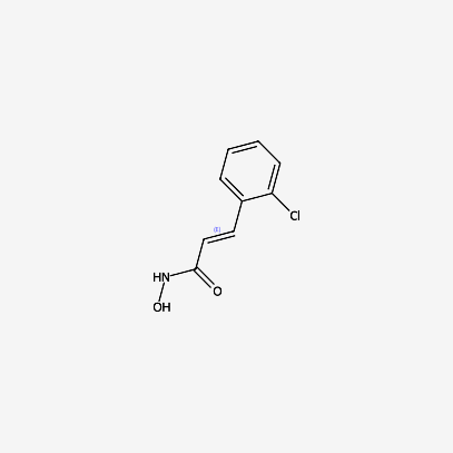 O=C(/C=C/c1ccccc1Cl)NO